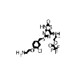 C[C@H](COC(=O)C(F)(F)F)Nc1nc(SCc2ccc(OCCN)c(Cl)c2)nc2[nH]c(=O)sc12